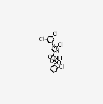 O=C(NS(=O)(=O)c1ccccc1Cl)c1cn(-c2cc(Cl)cc(Cl)c2)c(Cl)n1